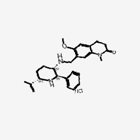 COc1cc2c(cc1CN[C@H]1CC[C@@H](C(C)C)N[C@@H]1c1ccccc1)N(C)C(=O)CC2.Cl